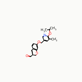 Cc1cc(COc2ccc3c(c2)OCC(C=O)=C3)cnc1OC(C)C